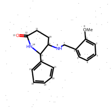 COc1ccccc1CNC1CCC(=O)NC1c1ccccc1